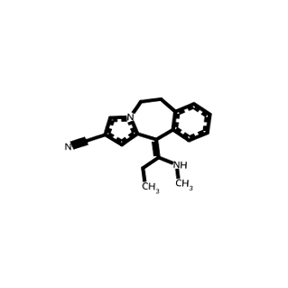 CCC(NC)=C1c2ccccc2CCn2cc(C#N)cc21